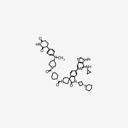 CC(C)n1cnc2cc(-c3ccc4c(c3)N([C@H]3C[C@@H](N5CCCCC5)C3)C(=O)C43CCN(C(=O)[C@H]4CC[C@@H](C(=O)N5CCC(N(C)c6ccc(C7CCC(=O)NC7=O)cc6)CC5)CC4)CC3)nc(NC3CC3)c21